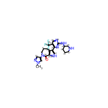 Cn1cc(N2CCCc3c(-c4nc(NC5CCCNC5)ncc4C(F)(F)F)c[nH]c3C2=O)cn1